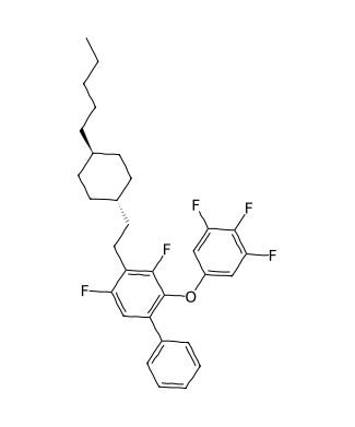 CCCCC[C@H]1CC[C@H](CCc2c(F)cc(-c3ccccc3)c(Oc3cc(F)c(F)c(F)c3)c2F)CC1